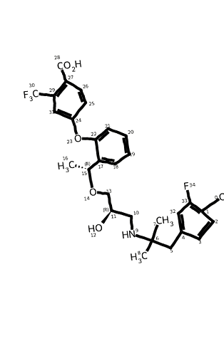 Cc1ccc(CC(C)(C)NC[C@@H](O)CO[C@H](C)c2ccccc2Oc2ccc(C(=O)O)c(C(F)(F)F)c2)cc1F